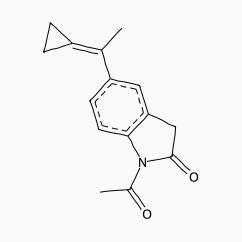 CC(=O)N1C(=O)Cc2cc(C(C)=C3CC3)ccc21